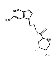 C[C@@H]1C[C@@H](C(=O)NCCn2cnc3cnc(N)cc32)NC[C@@H]1O